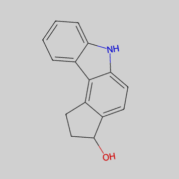 OC1CCc2c1ccc1[nH]c3ccccc3c21